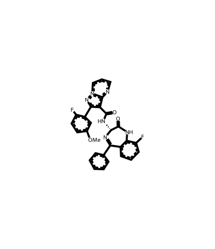 COc1ccc(F)c(-c2nn3cccnc3c2C(=O)N[C@H]2N=C(c3ccccc3)c3cccc(F)c3NC2=O)c1